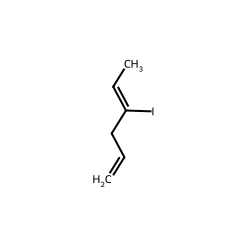 C=CC/C(I)=C/C